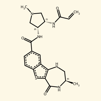 C=CC(=O)N[C@H]1CN(C)C[C@H]1NC(=O)c1ccc2sc3c(c2c1)NC[C@@H](C)NC3=O